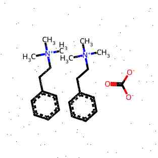 C[N+](C)(C)CCc1ccccc1.C[N+](C)(C)CCc1ccccc1.O=C([O-])[O-]